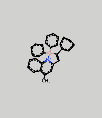 Cc1cc2[n+](c3ccccc13)[B-](c1ccccc1)(c1ccccc1)C(c1ccccc1)=C2